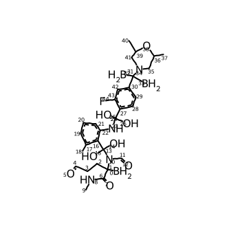 BC(CCC=O)(C(=O)NC)N(C=O)C(O)(O)c1c(C)cccc1NC(O)(O)c1ccc(C(B)(B)N2CC(C)OC(C)C2)cc1F